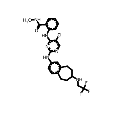 CNC(=O)c1ccccc1Nc1nc(Nc2ccc3c(c2)CCC(NCC(F)(F)F)CC3)ncc1Cl